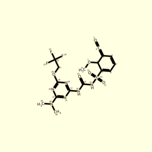 COC1C(=C=O)C=CC=C1S(=O)(=O)NC(=O)Nc1nc(OCC(F)(F)F)nc(N(C)C)n1